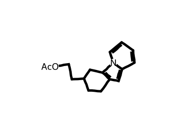 CC(=O)OCCC1CCc2cc3ccccn3c2C1